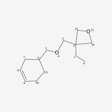 CCC1(COCC2CC=CCC2)COC1